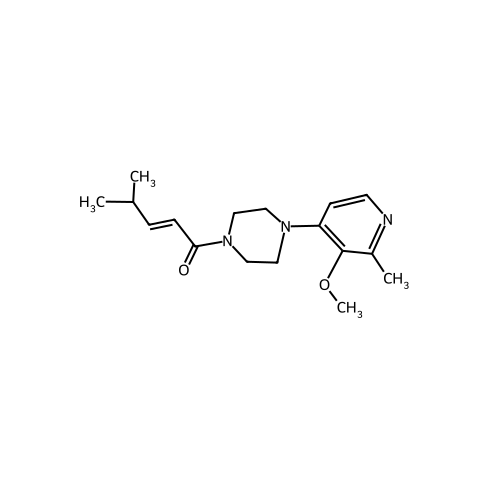 COc1c(N2CCN(C(=O)C=CC(C)C)CC2)ccnc1C